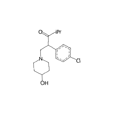 CC(C)C(=O)C(CN1CCC(O)CC1)c1ccc(Cl)cc1